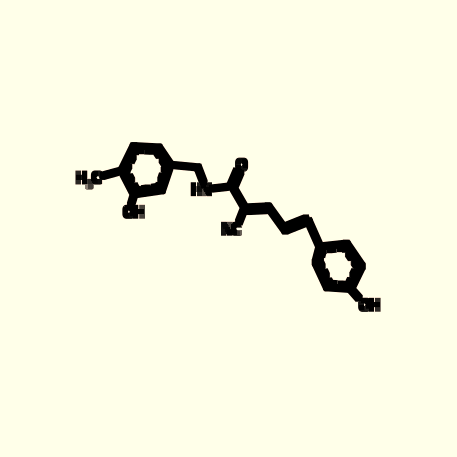 Cc1ccc(CNC(=O)/C(C#N)=C/C=C/c2ccc(O)cc2)cc1O